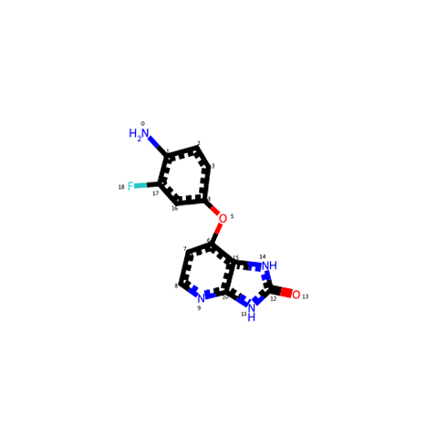 Nc1ccc(Oc2ccnc3[nH]c(=O)[nH]c23)cc1F